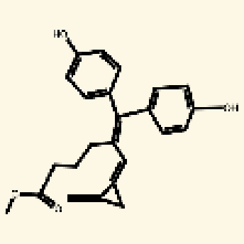 C=C1C/C1=C/C(CCCC(=O)OC)=C(c1ccc(O)cc1)c1ccc(O)cc1